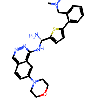 CN(C)Cc1ccccc1-c1ccc([C@@H](N)Nc2nncc3ccc(N4CCOCC4)cc23)s1